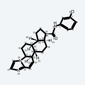 O=C(Nc1cccc(Cl)c1)[C@@H]1CC[C@H]2[C@@H]3CCC4[C@H](C=Cc5nccn54)[C@H]3CC[C@@H]21